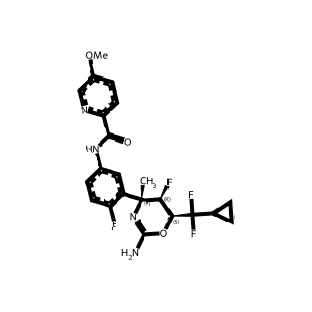 COc1ccc(C(=O)Nc2ccc(F)c([C@@]3(C)N=C(N)O[C@H](C(F)(F)C4CC4)[C@@H]3F)c2)nc1